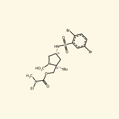 CCN(C)C(=O)OC[C@]1(C(C)(C)C)C[C@@H](NS(=O)(=O)c2cc(Br)ccc2Br)CN1C(=O)O